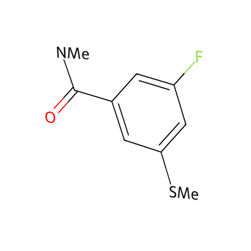 CNC(=O)c1cc(F)cc(SC)c1